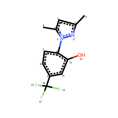 Cc1cc(C)n(-c2ccc(C(F)(F)F)cc2O)n1